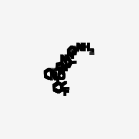 Cc1cn2nc([C@@H]3CCCCN3C(=O)c3cccc(F)c3C)cc2nc1N1CC[C@H](N)C1